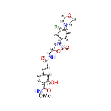 CONC(=O)c1ccc(C=CC(=O)NC[C@H]2CN(c3ccc(N4CCOCC4)c(F)c3)C(=O)O2)cc1O